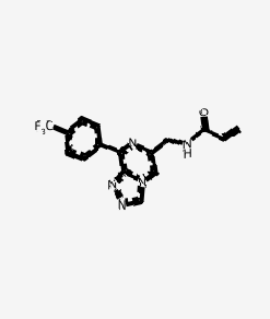 C=CC(=O)NCc1cn2cnnc2c(-c2ccc(C(F)(F)F)cc2)n1